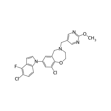 COc1ncc(CN2CCOc3c(Cl)cc(-n4ccc5c(F)c(Cl)ccc54)cc3C2)cn1